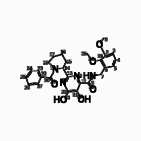 COc1cccc(CNC(=O)c2nc(C3CCCCN3C(=O)c3ccccc3)nc(O)c2O)c1OC